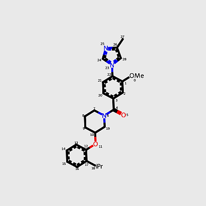 COc1cc(C(=O)N2CCCC(Oc3ccccc3C(C)C)C2)ccc1-n1cnc(C)c1